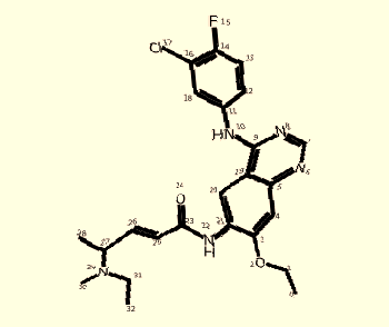 CCOc1cc2ncnc(Nc3ccc(F)c(Cl)c3)c2cc1NC(=O)/C=C/C(C)N(C)CC